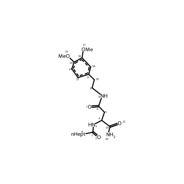 CCCCCCCC(=O)NC(CC(=O)NCCc1ccc(OC)c(OC)c1)C(N)=O